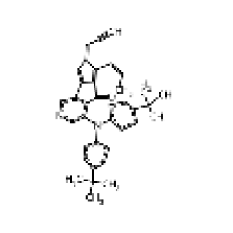 C#C/C=C1/C=C2C(=C1/C=C\C)C(=O)c1c2cncc1N(c1ccc(C(C)(C)C)cc1)c1ccc(C(C)(C)C)cc1